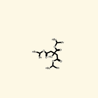 CCCCC(OC(=O)CC(O)(CC(=O)OC(CCCC)C(C)C)C(=O)OC(CCCC)C(C)C)C(C)C